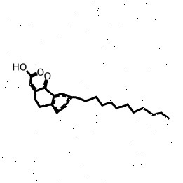 CCCCCCCCCCCCc1ccc2c(c1)C(=O)C(=CC(=O)O)CC2